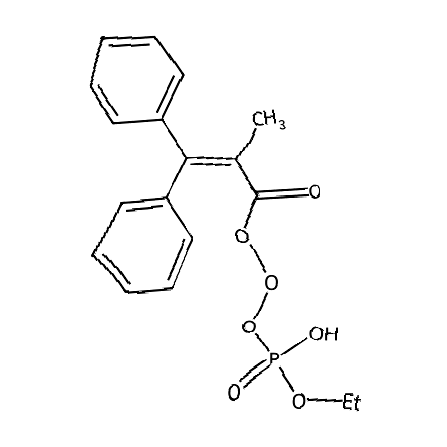 CCOP(=O)(O)OOOC(=O)C(C)=C(c1ccccc1)c1ccccc1